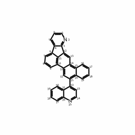 c1cnc2c(c1)-c1cccc3c1c-2cc1c2ccccc2c(-c2ccnc4ccccc24)cc31